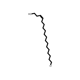 OCC/C=C\CCCCCCCCCCCCCCCl